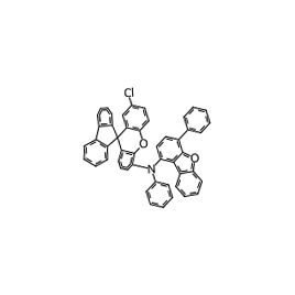 Clc1ccc2c(c1)C1(c3ccccc3-c3ccccc31)c1cccc(N(c3ccccc3)c3ccc(-c4ccccc4)c4oc5ccccc5c34)c1O2